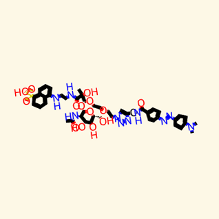 CC(=O)N[C@H]1[C@H](OC(OCCOCCn2cc(CNC(=O)c3ccc(/N=N/c4ccc(N(C)C)cc4)cc3)nn2)C(C)(O)C(=O)NCCNc2cccc3c(S(=O)(=O)O)cccc23)O[C@H](CO)[C@@H](O)[C@@H]1O